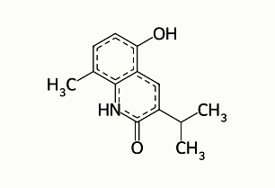 Cc1ccc(O)c2cc(C(C)C)c(=O)[nH]c12